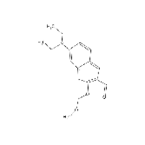 CCN(CC)c1ccc2cc(C=O)c(OCOC)cc2c1